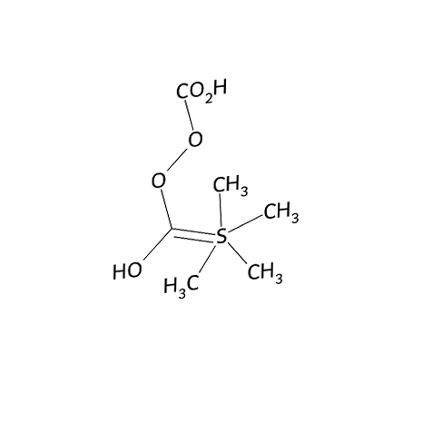 CS(C)(C)(C)=C(O)OOC(=O)O